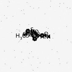 COC(=O)c1cccc([C@H]2SCC(C(=O)Nc3nc(-c4ccc(C(=O)NC5CC5)cc4)cs3)N2C(=O)OCc2ccccc2)c1